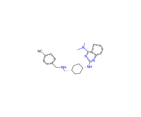 CN(C)c1nc(N[C@H]2CC[C@@H](CNCc3ccc(C#N)cc3)CC2)nc2ccccc12